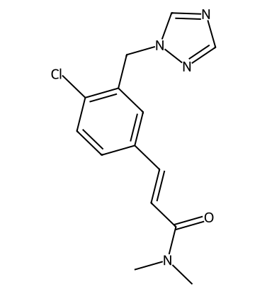 CN(C)C(=O)C=Cc1ccc(Cl)c(Cn2cncn2)c1